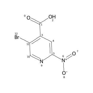 O=C(O)c1cc([N+](=O)[O-])ncc1Br